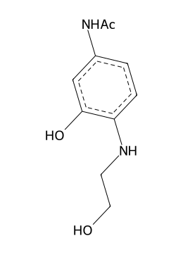 CC(=O)Nc1ccc(NCCO)c(O)c1